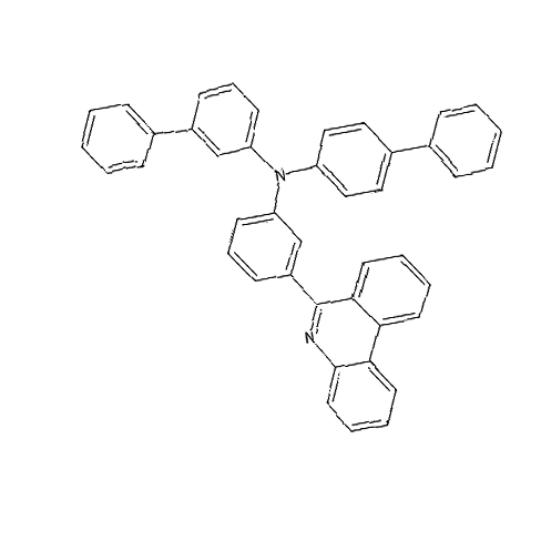 c1ccc(-c2ccc(N(c3cccc(-c4ccccc4)c3)c3cccc(-c4nc5ccccc5c5ccccc45)c3)cc2)cc1